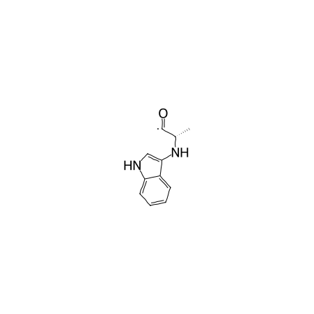 C[C@@H]([C]=O)Nc1c[nH]c2ccccc12